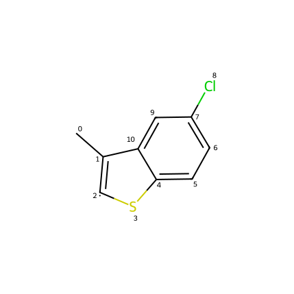 Cc1[c]sc2ccc(Cl)cc12